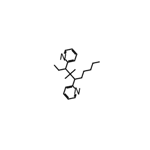 CCCCCC(c1ccccn1)C(C)(C)C(CC)c1ccccn1